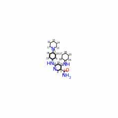 NC(=O)c1cnc(Nc2ccc(N3CCCCC3)cc2)cc1NC1CCCCC1